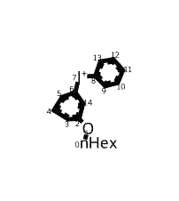 CCCCCCOc1cccc([I+]c2ccccc2)c1